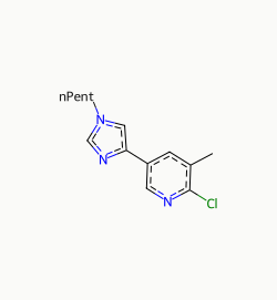 CCCCCn1cnc(-c2cnc(Cl)c(C)c2)c1